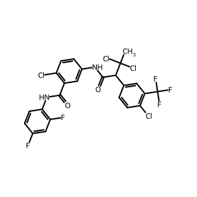 CC(Cl)(Cl)C(C(=O)Nc1ccc(Cl)c(C(=O)Nc2ccc(F)cc2F)c1)c1ccc(Cl)c(C(F)(F)F)c1